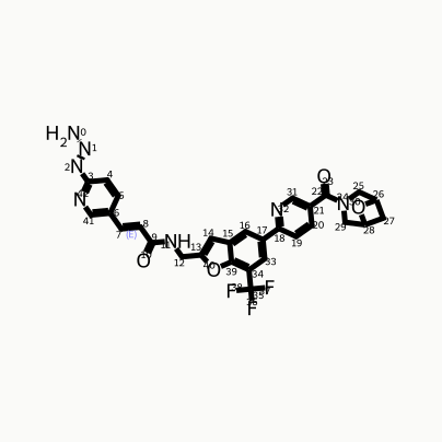 NN=Nc1ccc(/C=C/C(=O)NCc2cc3cc(-c4ccc(C(=O)N5CC6CC(C5)O6)cn4)cc(C(F)(F)F)c3o2)cn1